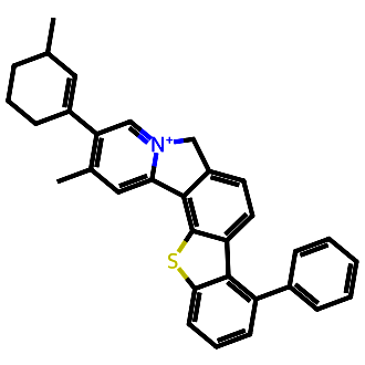 Cc1cc2[n+](cc1C1=CC(C)CCC1)Cc1ccc3c(sc4cccc(-c5ccccc5)c43)c1-2